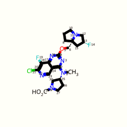 CN(c1nc(OC[C@]23CCCN2C[C@H](F)C3)nc2c(F)c(Cl)ncc12)[C@@H]1CCN(C(=O)O)C1